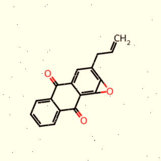 C=CCc1cc2c(=O)c3ccccc3c(=O)c2c2oc12